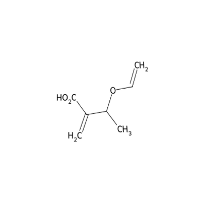 C=COC(C)C(=C)C(=O)O